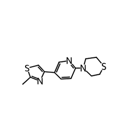 Cc1nc(-c2ccc(N3CCSCC3)nc2)cs1